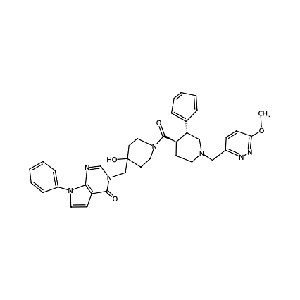 COc1ccc(CN2CC[C@@H](C(=O)N3CCC(O)(Cn4cnc5c(ccn5-c5ccccc5)c4=O)CC3)[C@H](c3ccccc3)C2)nn1